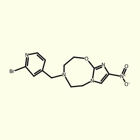 O=[N+]([O-])c1cn2c(n1)OCCN(Cc1ccnc(Br)c1)CC2